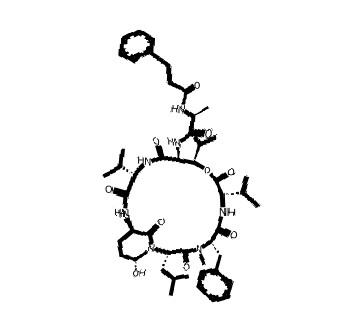 CC(C)C[C@H]1C(=O)N(C)[C@@H](Cc2ccccc2)C(=O)N[C@@H](C(C)C)C(=O)O[C@H](C(C)C)[C@H](NC(=O)[C@H](C)NC(=O)CCc2ccccc2)C(=O)N[C@@H](C(C)C)C(=O)N[C@H]2CC[C@@H](O)N1C2=O